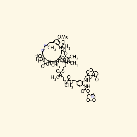 COc1cc2cc(c1Cl)N(C)C(=O)C[C@H](OC(=O)[C@H](C)N(C)C(=O)CCSC(=O)N(C)CCN(C)C(=O)OCc1ccc(NC(=O)OC3/C=C/COCOC3)c(NCC(=O)ON3C(=O)CCC3=O)c1)[C@]1(C)C[C@H]1[C@H](C)[C@@H]1C[C@@](O)(NC(=O)O1)[C@H](O)/C=C/C=C(\C)C2